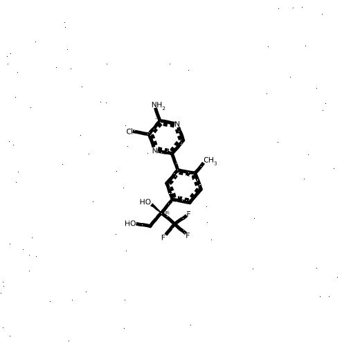 Cc1ccc([C@@](O)(CO)C(F)(F)F)cc1-c1cnc(N)c(Cl)n1